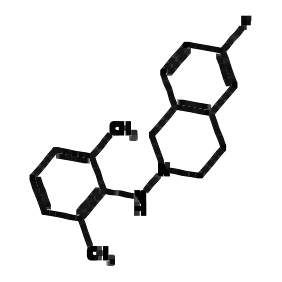 Cc1cccc(C)c1NN1CCc2cc(F)ccc2C1